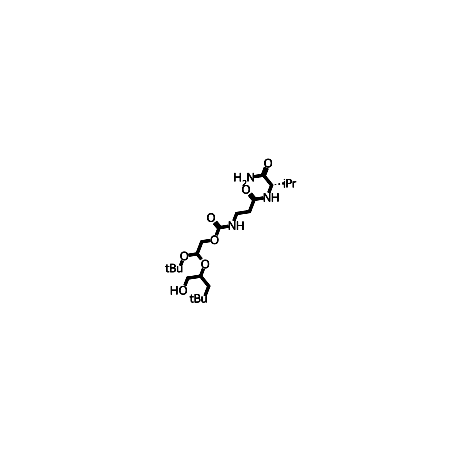 CC(C)[C@H](NC(=O)CCNC(=O)OCC(OC(CO)CC(C)(C)C)OC(C)(C)C)C(N)=O